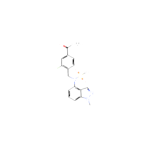 CCS(=O)(=O)N(Cc1ccc(C(=O)OC)cc1F)c1cccc2c1cnn2C